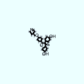 O=C(c1ccc(OCc2ccncc2)cc1)c1c(-c2ccc(O)cc2)sc2cc(O)ccc12